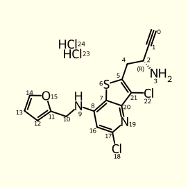 C#C[C@H](N)Cc1sc2c(NCc3ccco3)cc(Cl)nc2c1Cl.Cl.Cl